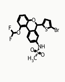 CS(=O)(=O)Nc1ccc2c(c1)C(c1ccc(Br)s1)Oc1cccc(OC(F)F)c1-2